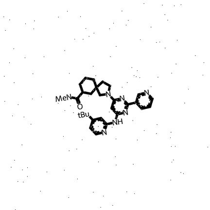 CNC(=O)C1CCCC2(CCN(c3cc(Nc4cc(C(C)(C)C)ccn4)nc(-c4cccnc4)n3)C2)C1